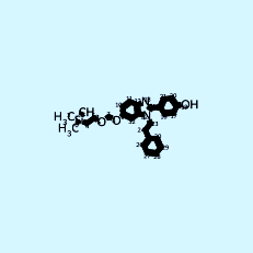 C[Si](C)(C)CCOCOc1ccc2nc(-c3ccc(O)cc3)n(CCc3ccccc3)c2c1